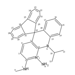 CNc1ccc2c([n+]1N)B(C(C)C)c1ccccc1C21c2ccccc2-c2ccccc21